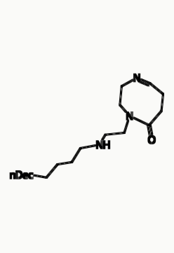 CCCCCCCCCCCCCCNCCN1CCN=CCCC1=O